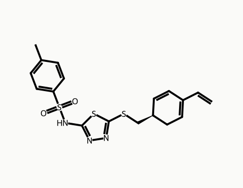 C=CC1=CC[C@@H](CSc2nnc(NS(=O)(=O)c3ccc(C)cc3)s2)C=C1